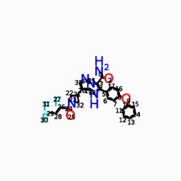 NC(=O)c1c(-c2ccc(Oc3ccccc3)cc2)[nH]c2c(C3CN(C(=O)C(F)=CC(F)F)C3)cnn12